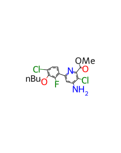 CCCCOc1c(Cl)ccc(-c2cc(N)c(Cl)c(C(=O)OC)n2)c1F